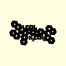 CC1(C)c2cc(N(c3ccc4ccccc4c3)c3cccc4ccccc34)ccc2-c2cc3c(cc21)-c1c(cc(N(c2ccc4ccccc4c2)c2cccc4ccccc24)c2cc4ccccc4cc12)C3(C)C